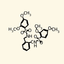 COc1ccc(S(=O)(=O)NCc2ccccc2CNS(=O)(=O)c2ccc(OC)cc2OC)c(OC)c1